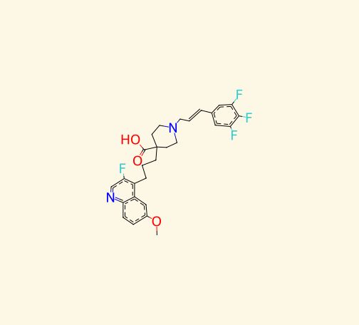 COc1ccc2ncc(F)c(CCCC3(C(=O)O)CCN(C/C=C/c4cc(F)c(F)c(F)c4)CC3)c2c1